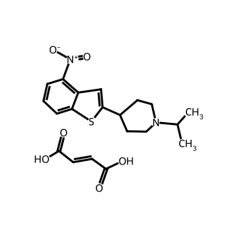 CC(C)N1CCC(c2cc3c([N+](=O)[O-])cccc3s2)CC1.O=C(O)C=CC(=O)O